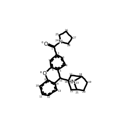 O=C(c1ccc2c(c1)Oc1ccccc1C2C1CC2CCC(C1)N2)N1CCCC1